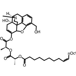 CCCCCCCC/C=C\CCCCCCCC(=O)O[C@H](C)C(=O)O[C@@H](C)C(=O)OC1=CC[C@@]2(O)[C@H]3Cc4ccc(CO)c5c4C2(CCN3C)C1O5